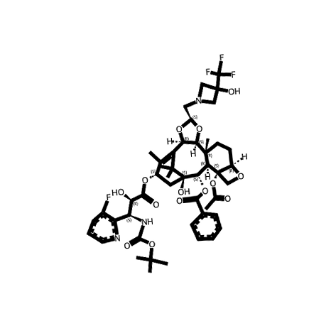 CC(=O)O[C@@]12CO[C@@H]1CC[C@@]1(C)[C@@H]3O[C@H](CN4CC(O)(C(F)(F)F)C4)O[C@@H]3C3=C(C)[C@@H](OC(=O)[C@H](O)[C@@H](NC(=O)OC(C)(C)C)c4ncccc4F)C[C@@](O)([C@@H](OC(=O)c4ccccc4)[C@@H]12)C3(C)C